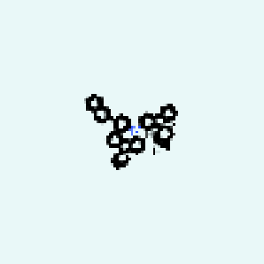 C[C@H]1CC23C[C@@H]2C[C@H](C3)[C@@]12c1ccccc1-c1ccc(N(c3ccc(-c4ccc5ccccc5c4)cc3)c3cccc4c3-c3ccccc3[C@]43CC4CCC3C4)cc12